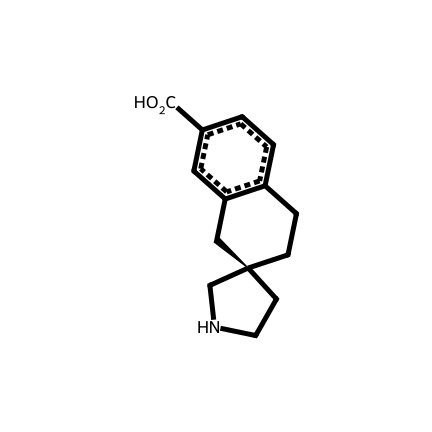 O=C(O)c1ccc2c(c1)C[C@]1(CCNC1)CC2